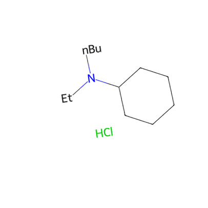 CCCCN(CC)C1CCCCC1.Cl